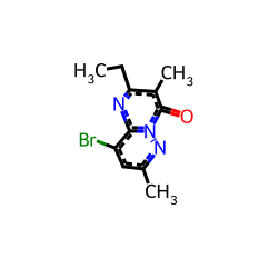 CCc1nc2c(Br)cc(C)nn2c(=O)c1C